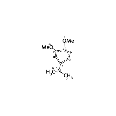 COc1[c]cc(N(C)C)cc1OC